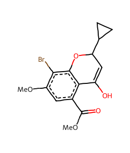 COC(=O)c1cc(OC)c(Br)c2c1C(O)=CC(C1CC1)O2